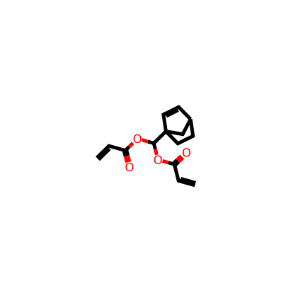 C=CC(=O)OC(OC(=O)C=C)C12C=CC(CC1)C2